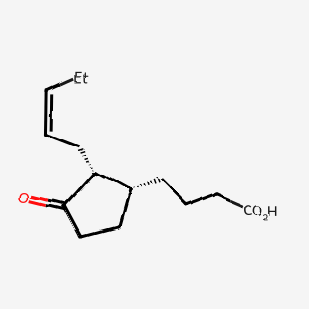 CC/C=C\C[C@H]1C(=O)CC[C@H]1CCCC(=O)O